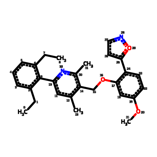 CCc1cccc(CC)c1-c1cc(C)c(COc2cc(OC)ccc2-c2ccno2)c(C)n1